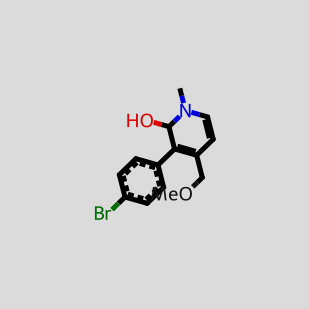 COCC1=C(c2ccc(Br)cc2)C(O)N(C)C=C1